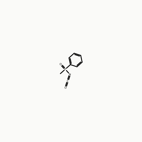 CP(=O)(N=C=O)c1ccccc1